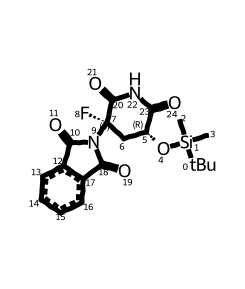 CC(C)(C)[Si](C)(C)O[C@@H]1C[C@@](F)(N2C(=O)c3ccccc3C2=O)C(=O)NC1=O